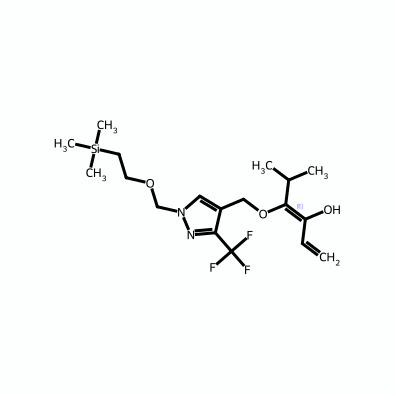 C=C/C(O)=C(\OCc1cn(COCC[Si](C)(C)C)nc1C(F)(F)F)C(C)C